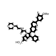 COc1ccc(-c2ccc3cc(-c4c(-c5ccccc5)c5sc(C(=O)O)cc5n4CC(=O)NCCN4CCOCC4)ccc3n2)cc1F